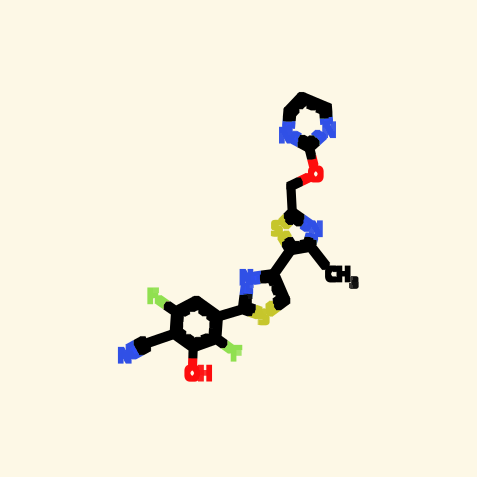 Cc1nc(COc2ncccn2)sc1-c1csc(-c2cc(F)c(C#N)c(O)c2F)n1